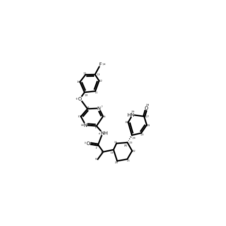 CC(C(=O)Nc1cnc(Oc2ccc(F)cc2)cn1)C1CCC[C@@H](c2ccc(=O)[nH]c2)C1